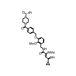 CN/C(=C\C(=N)C1CC1)C(=O)NCc1cccc(OCc2ccc(C(=O)N3CCN([S+]([O-])C(C)C)CC3)cc2)c1OC